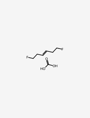 FCCC=CCCF.O=C(O)O